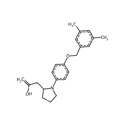 C=C(O)CC1CCCN1c1ccc(OCc2cc(C)cc(C)c2)cc1